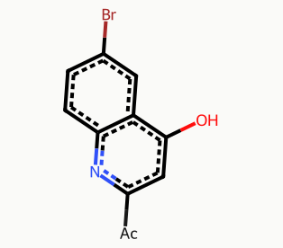 CC(=O)c1cc(O)c2cc(Br)ccc2n1